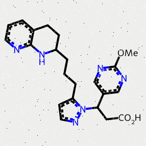 COc1ncc(C(CC(=O)O)n2nccc2CCCC2CCc3cccnc3N2)cn1